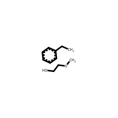 CCc1ccccc1.COCCO